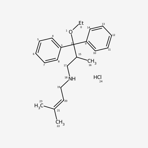 CCOC(c1ccccc1)(c1ccccc1)C(C)CNCC=C(C)C.Cl